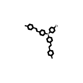 CCc1ccc(N(c2ccc(C=Cc3ccc(C)cc3)cc2)c2ccc(C=Cc3ccc(C)cc3)cc2)cc1